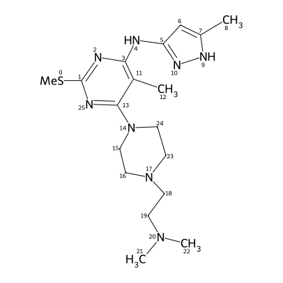 CSc1nc(Nc2cc(C)[nH]n2)c(C)c(N2CCN(CCN(C)C)CC2)n1